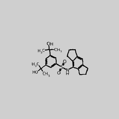 CC(C)(O)c1cc(C(C)(C)O)cc(S(=O)(=O)Nc2c3c(cc4c2CCC4)CCC3)c1